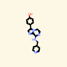 Oc1ccc(-c2cnc3c(NCc4ccncc4)nccn23)cc1